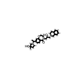 CC(c1ccc2c(c1)OCCN(C[C@H](O)CN1CCc3ccccc3C1)C2=O)N1CCC(C)(O)C1